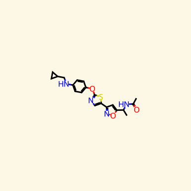 CC(=O)NC(C)c1cc(-c2cnc(Oc3ccc(NCC4CC4)cc3)s2)no1